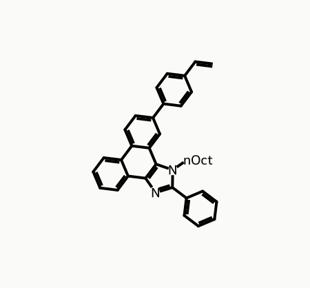 C=Cc1ccc(-c2ccc3c4ccccc4c4nc(-c5ccccc5)n(CCCCCCCC)c4c3c2)cc1